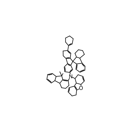 CC1(C)C2=C(N(c3ccc4c(c3)C3(C5=C4CCC(C4=CCCCC4)=C5)c4ccccc4C4CCCCC43)C3CC=CC4OC5=C(C=CCC5)C43)CCCC2C2C=CC=CC21